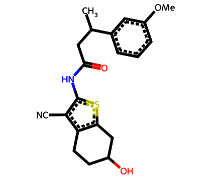 COc1cccc(C(C)CC(=O)Nc2sc3c(c2C#N)CCC(O)C3)c1